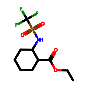 CCOC(=O)C1CCCCC1NS(=O)(=O)C(F)(F)F